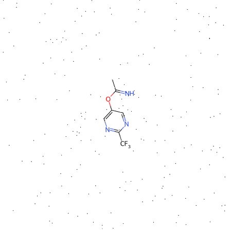 CC(=N)Oc1cnc(C(F)(F)F)nc1